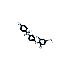 O=[N+]([O-])c1cc(Cl)c(Oc2ccc(S(=O)(=O)c3ccc(Cl)cc3)cc2)c(Cl)c1